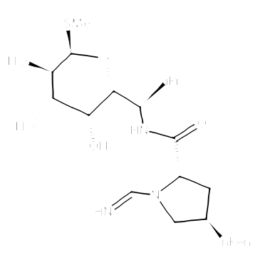 CCCCC[C@@H]1C[C@@H](C(=O)N[C@H](C(C)C)[C@H]2O[C@H](SC)[C@H](O)[C@@H](O)[C@H]2O)N(C=N)C1